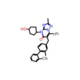 CCCc1c(Cc2ccc(-c3ccccc3C#N)c(C)c2)c(=O)n(C2CCC(O)CC2)c2nc(C)nn12